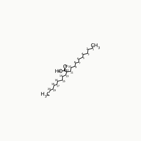 CCCCCCCCCCCCC(CCCCCCCCC)C(=O)O